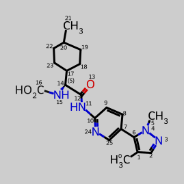 Cc1cnn(C)c1-c1ccc(NC(=O)[C@@H](NC(=O)O)C2CCC(C)CC2)nc1